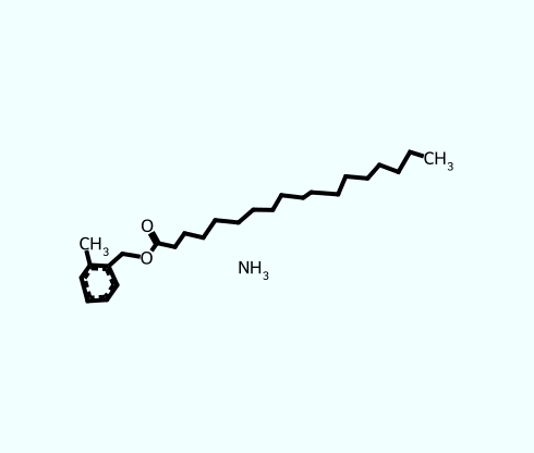 CCCCCCCCCCCCCCCCCC(=O)OCc1ccccc1C.N